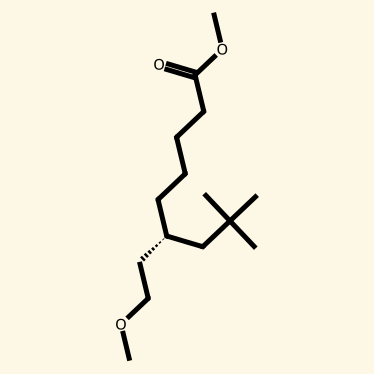 COCC[C@H](CCCCC(=O)OC)CC(C)(C)C